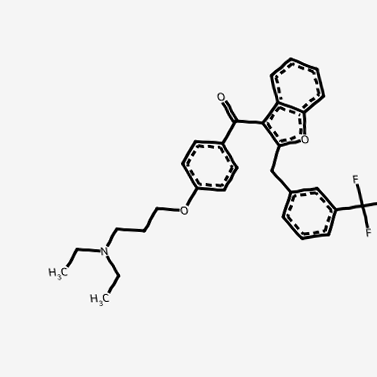 CCN(CC)CCCOc1ccc(C(=O)c2c(Cc3cccc(C(F)(F)F)c3)oc3ccccc23)cc1